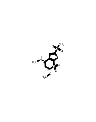 CC[C@@H]1C[C@@H](NC)c2cc(S(N)(=O)=O)sc2S1(=O)=O